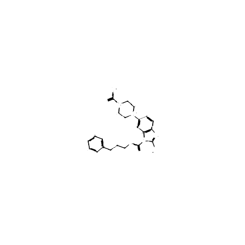 COc1nc2ccc(N3CCN(C(C)=O)CC3)cc2n1C(=O)NCCCc1ccccc1